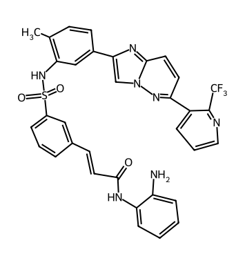 Cc1ccc(-c2cn3nc(-c4cccnc4C(F)(F)F)ccc3n2)cc1NS(=O)(=O)c1cccc(C=CC(=O)Nc2ccccc2N)c1